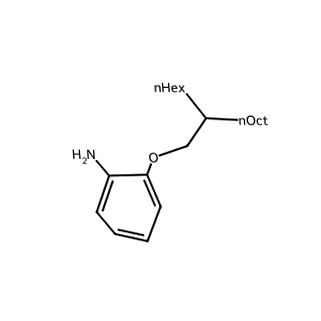 CCCCCCCCC(CCCCCC)COc1ccccc1N